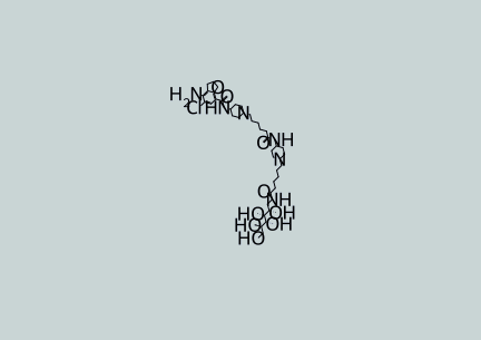 Nc1c(Cl)cc(C(=O)NC2CCN(CCCCCC(=O)NC3CCN(CCCCCC(=O)NC[C@H](O)[C@@H](O)[C@H](O)[C@H](O)CO)CC3)CC2)c2c1CCO2